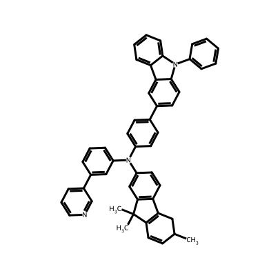 CC1C=CC2=C(C1)c1ccc(N(c3ccc(-c4ccc5c(c4)c4ccccc4n5-c4ccccc4)cc3)c3cccc(-c4cccnc4)c3)cc1C2(C)C